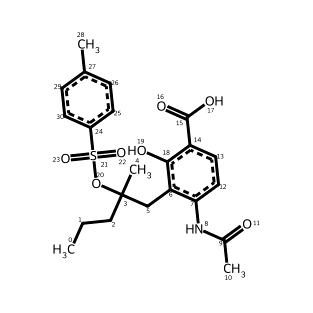 CCCC(C)(Cc1c(NC(C)=O)ccc(C(=O)O)c1O)OS(=O)(=O)c1ccc(C)cc1